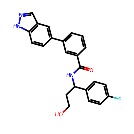 O=C(NC(CCO)c1ccc(F)cc1)c1cccc(-c2ccc3[nH]ncc3c2)c1